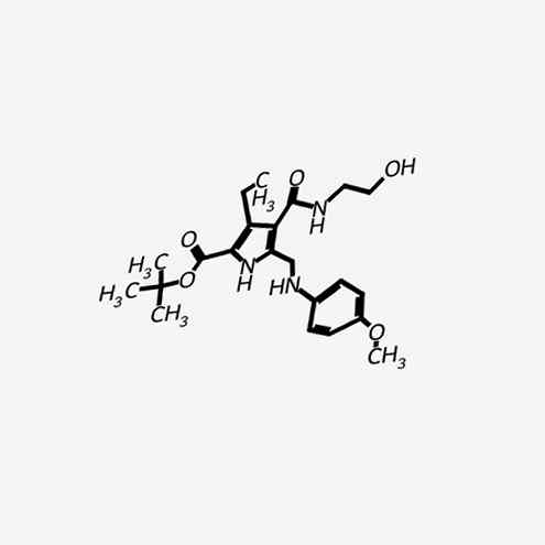 CCc1c(C(=O)OC(C)(C)C)[nH]c(CNc2ccc(OC)cc2)c1C(=O)NCCO